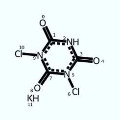 O=c1[nH]c(=O)n(Cl)c(=O)n1Cl.[KH]